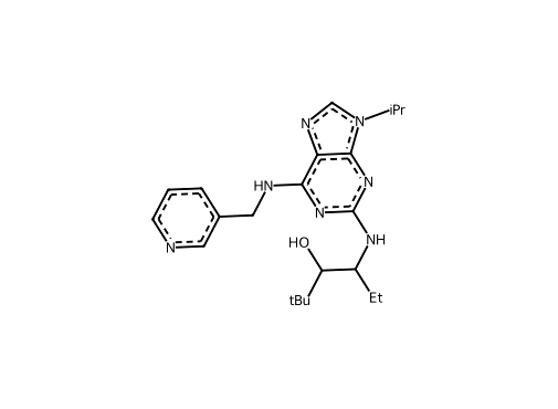 CCC(Nc1nc(NCc2cccnc2)c2ncn(C(C)C)c2n1)C(O)C(C)(C)C